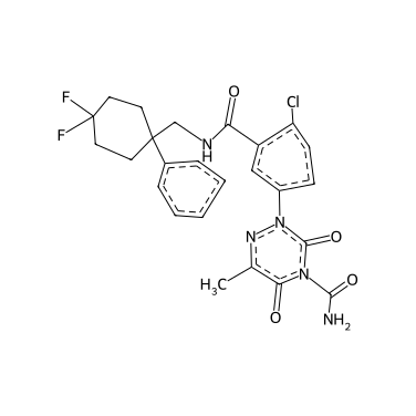 Cc1nn(-c2ccc(Cl)c(C(=O)NCC3(c4ccccc4)CCC(F)(F)CC3)c2)c(=O)n(C(N)=O)c1=O